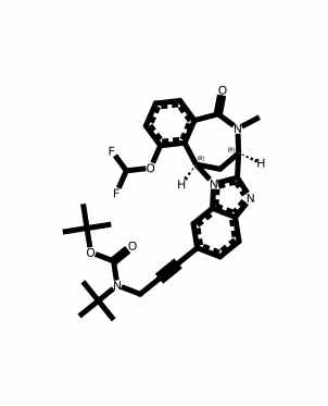 CN1C(=O)c2cccc(OC(F)F)c2[C@H]2C[C@@H]1c1nc3ccc(C#CCN(C(=O)OC(C)(C)C)C(C)(C)C)cc3n12